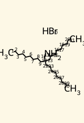 Br.CCCCCCCCCC(CN)(CCCCCCCCC)CCCCCCCCC